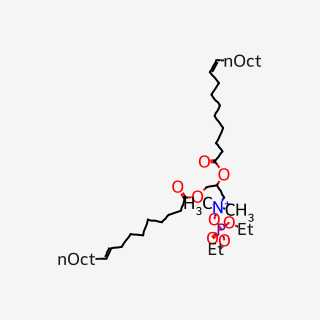 CCCCCCCCC=CCCCCCCCC(=O)OCC(C[N+](C)(C)OP(=O)(OCC)OCC)OC(=O)CCCCCCC/C=C\CCCCCCCC